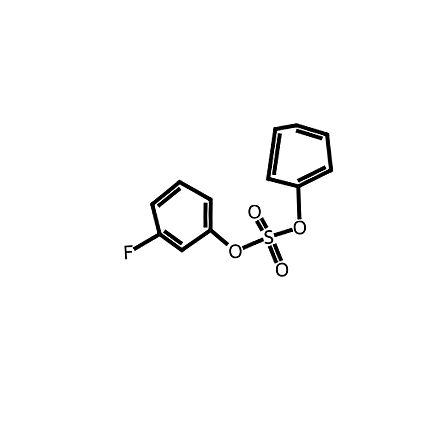 O=S(=O)(Oc1ccccc1)Oc1cccc(F)c1